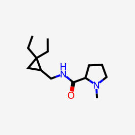 CCC1(CC)CC1CNC(=O)C1CCCN1C